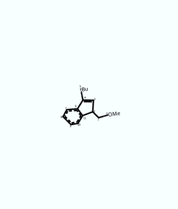 COCC1C=C(C(C)(C)C)c2ccccc21